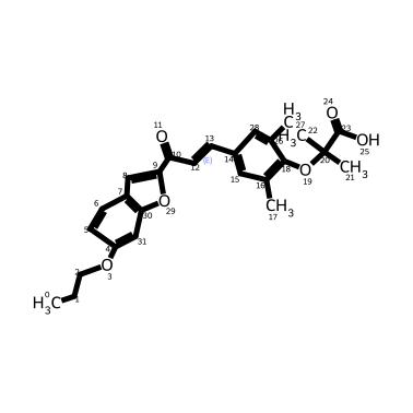 CCCOc1ccc2cc(C(=O)/C=C/c3cc(C)c(OC(C)(C)C(=O)O)c(C)c3)oc2c1